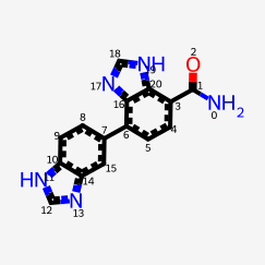 NC(=O)c1ccc(-c2ccc3[nH]cnc3c2)c2nc[nH]c12